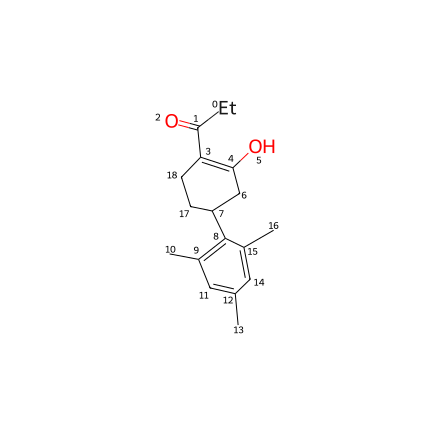 CCC(=O)C1=C(O)CC(c2c(C)cc(C)cc2C)CC1